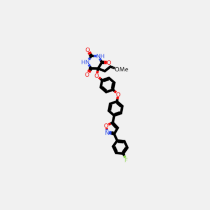 COCCC1(Oc2ccc(Oc3ccc(-c4cc(-c5ccc(F)cc5)no4)cc3)cc2)C(=O)NC(=O)NC1=O